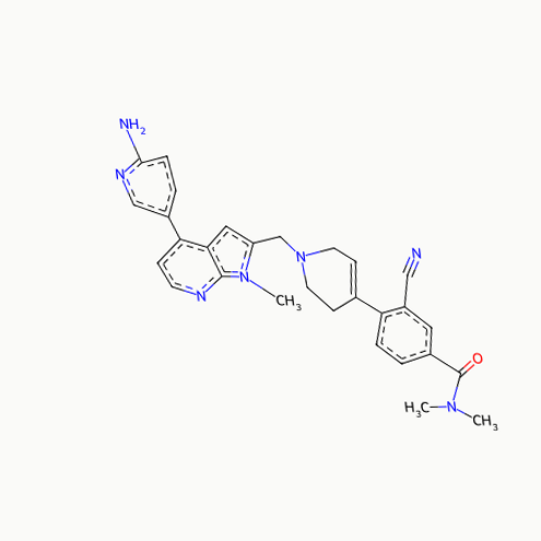 CN(C)C(=O)c1ccc(C2=CCN(Cc3cc4c(-c5ccc(N)nc5)ccnc4n3C)CC2)c(C#N)c1